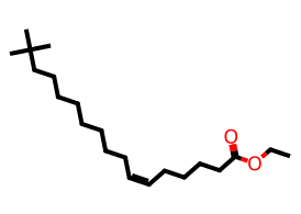 CCOC(=O)CCCC/C=C\CCCCCCCCC(C)(C)C